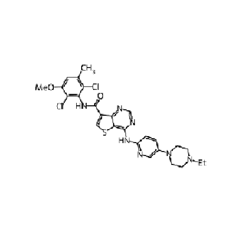 CCN1CCN(c2ccc(Nc3ncnc4c(C(=O)Nc5c(Cl)c(C)cc(OC)c5Cl)csc34)nc2)CC1